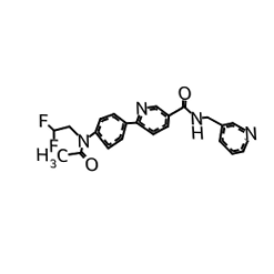 CC(=O)N(CC(F)F)c1ccc(-c2ccc(C(=O)NCc3cccnc3)cn2)cc1